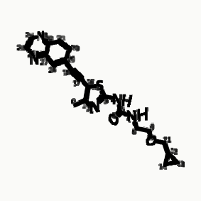 Cc1nc(NC(=O)NCCOCC2CC2)sc1C#Cc1ccc2nccnc2c1